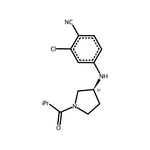 CC(C)C(=O)N1CC[C@H](Nc2ccc(C#N)c(Cl)c2)C1